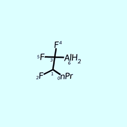 CCCC(F)[C](F)(F)[AlH2]